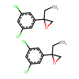 Clc1cc(Cl)cc(C2(CC(Cl)(Cl)Cl)CO2)c1.Clc1cc(Cl)cc(C2(CC(Cl)(Cl)Cl)CO2)c1